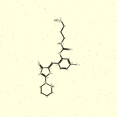 O=C(O)CCCNC(=O)Oc1cc(F)ccc1C=C1SC(N2CCCCN2)=NC1=O